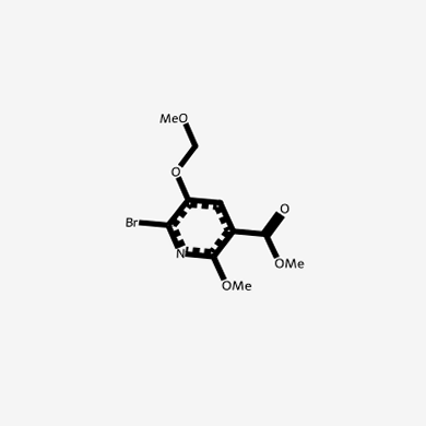 COCOc1cc(C(=O)OC)c(OC)nc1Br